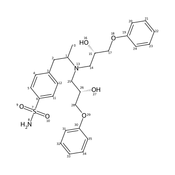 CC(Cc1ccc(S(N)(=O)=O)cc1)N(C[C@H](O)COc1ccccc1)C[C@H](O)COc1ccccc1